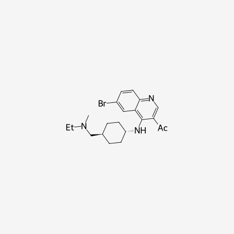 CCN(C)C[C@H]1CC[C@H](Nc2c(C(C)=O)cnc3ccc(Br)cc23)CC1